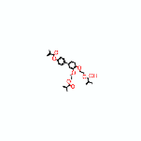 C=C(C)C(=O)OCCOc1cc(-c2ccc(OC(=O)C(=C)C)cc2)ccc1OCCOC(O)C(=C)C